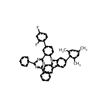 Cc1cc(C)c(-c2ccc3c4ccccc4n(-c4ccc(-c5ccc(F)cc5F)cc4-c4nc(-c5ccccc5)nc(-c5ccccc5)n4)c3c2)c(C)c1